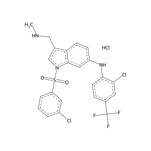 CNCc1cn(S(=O)(=O)c2cccc(Cl)c2)c2cc(Nc3ccc(C(F)(F)F)cc3Cl)ccc12.Cl